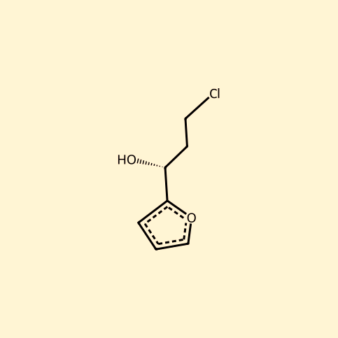 O[C@H](CCCl)c1ccco1